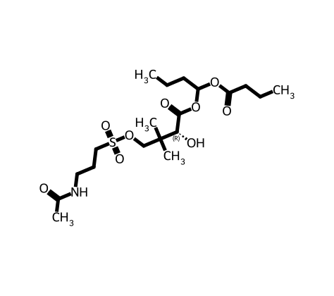 CCCC(=O)OC(CCC)OC(=O)[C@H](O)C(C)(C)COS(=O)(=O)CCCNC(C)=O